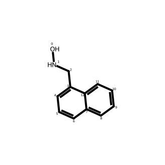 ONCc1cccc2ccccc12